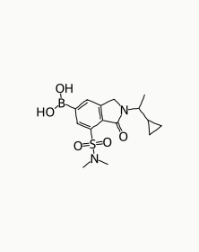 CC(C1CC1)N1Cc2cc(B(O)O)cc(S(=O)(=O)N(C)C)c2C1=O